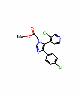 CC(C)(C)OC(=O)Cn1cnc(-c2ccc(Cl)cc2)c1-c1ccncc1Cl